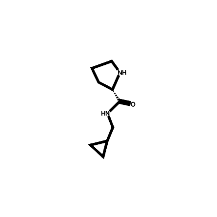 O=C(NCC1CC1)[C@@H]1CCCN1